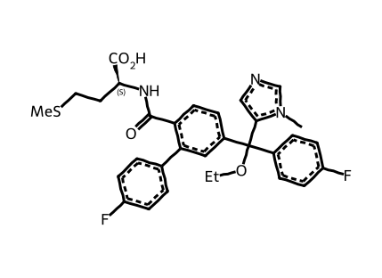 CCOC(c1ccc(F)cc1)(c1ccc(C(=O)N[C@@H](CCSC)C(=O)O)c(-c2ccc(F)cc2)c1)c1cncn1C